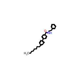 CCCCCCCCc1ccc(-c2ccc(C(=O)NCCc3ccccc3)cc2)cc1